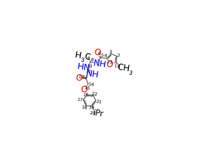 Cc1ccc(C(=O)NC(C)NNC(=O)COc2ccc(C(C)C)cc2)o1